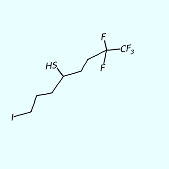 FC(F)(F)C(F)(F)CCC(S)CCCI